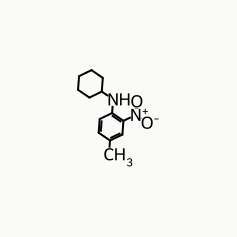 Cc1ccc(NC2CCCCC2)c([N+](=O)[O-])c1